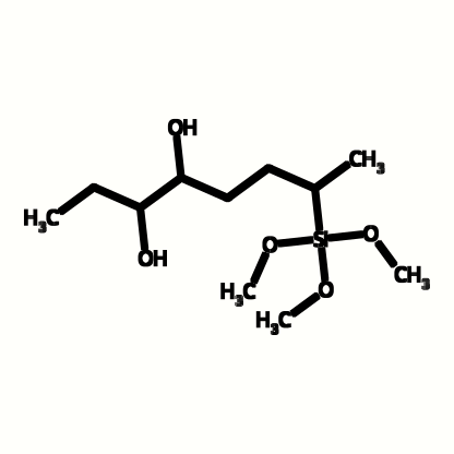 CCC(O)C(O)CCC(C)[Si](OC)(OC)OC